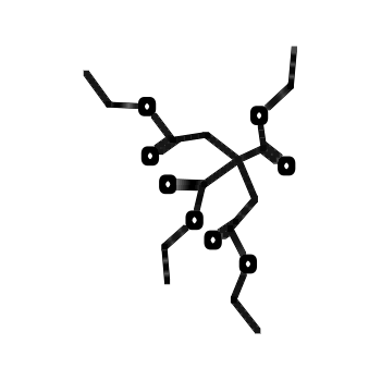 CCOC(=O)CC(CC(=O)OCC)(C(=O)OCC)C(=O)OCC